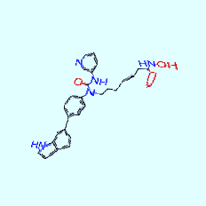 O=C(CCCCCCN(C(=O)Nc1cccnc1)c1ccc(-c2ccc3cc[nH]c3c2)cc1)NO